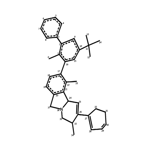 Cc1c(-c2ccccc2)cc(C(C)(C)C)cc1-c1ccc2c(c1C)C1C=C(C3=CC=CCC3)C(C)CN1C2